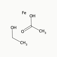 CC(=O)O.CCO.[Fe]